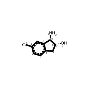 N[C@@H]1c2cc(Cl)ccc2C[C@H]1O